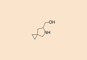 OCC1CC2(CC2)CN1